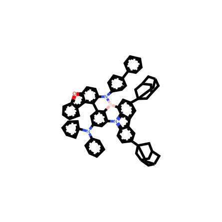 c1ccc(-c2ccc(N3B4c5c(cc(N(c6ccccc6)c6ccccc6)cc5-n5c6ccc(C78CC9CC(CC(C9)C7)C8)cc6c6cc(C78CC9CC(CC(C9)C7)C8)cc4c65)-c4c3ccc3oc5ccccc5c43)cc2)cc1